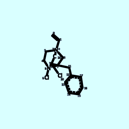 C=C[N+]12CC[N+](Cl)(CC1)C(Cl)(Cc1ccccc1)C2